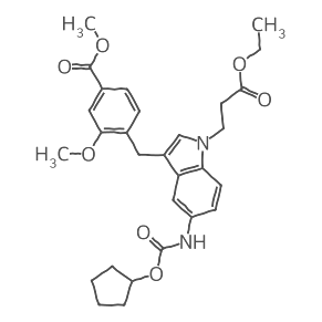 CCOC(=O)CCn1cc(Cc2ccc(C(=O)OC)cc2OC)c2cc(NC(=O)OC3CCCC3)ccc21